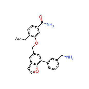 CC(=O)Cc1ccc(C(N)=O)cc1OCc1cc(-c2cccc(CN)c2)c2occc2c1